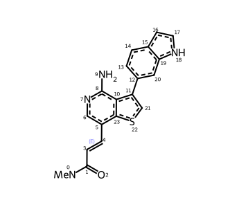 CNC(=O)/C=C/c1cnc(N)c2c(-c3ccc4cc[nH]c4c3)csc12